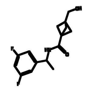 CC(NC(=O)C12CC(CO)(C1)C2)c1cc(F)cc(F)c1